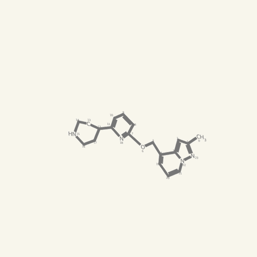 Cc1cc2c(COc3cccc(C4CCNCC4)n3)cccn2n1